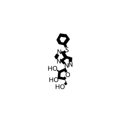 OC[C@H]1O[C@@H](n2ncc3c(Sc4ccccc4)ncnc32)[C@H](O)[C@@H]1O